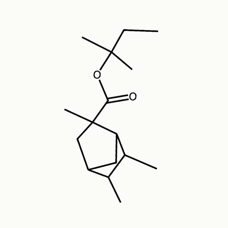 CCC(C)(C)OC(=O)C1(C)CC2CC1C(C)C2C